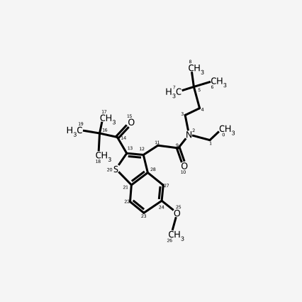 CCN(CCC(C)(C)C)C(=O)Cc1c(C(=O)C(C)(C)C)sc2ccc(OC)cc12